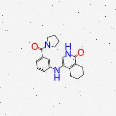 O=C(c1cccc(Nc2c[nH]c(=O)c3c2CCCC3)c1)N1CCCC1